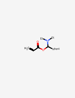 C=CC(=O)OC(CCCCC)N(CC)CC